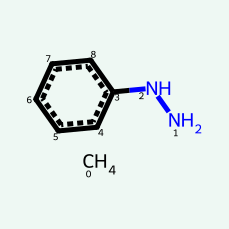 C.NNc1ccccc1